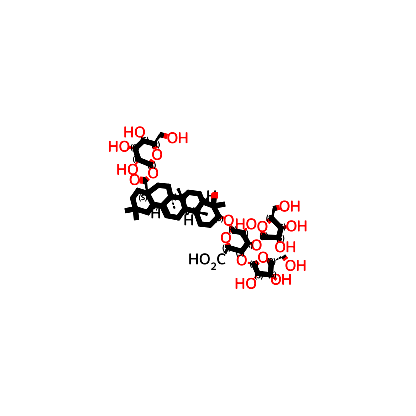 CC1(C)CC[C@]2(C(=O)O[C@@H]3O[C@H](CO)[C@@H](O)[C@H](O)[C@H]3O)CC[C@]3(C)C(=CC[C@@H]4[C@@]5(C)CC[C@H](O[C@@H]6O[C@H](C(=O)O)[C@@H](O[C@@H]7O[C@H](CO)[C@@H](O)[C@@H]7O)[C@H](O[C@H]7O[C@@H](CO)[C@@H](O)[C@@H]7O)[C@H]6O)C(C)(C)[C@@H]5CC[C@]43C)[C@@H]2C1